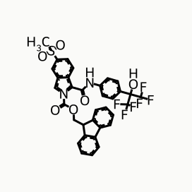 CS(=O)(=O)c1ccc2c(C(=O)Nc3ccc(C(O)(C(F)(F)F)C(F)(F)F)cc3)n(C(=O)OCC3c4ccccc4-c4ccccc43)cc2c1